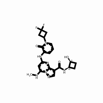 CNc1cc(Nc2cccn(C3CC(F)(F)C3)c2=O)nc2c(C(=O)N[C@@H]3CC[C@@H]3O)cnn12